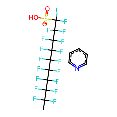 CC(F)(F)C(F)(F)C(F)(F)C(F)(F)C(F)(F)C(F)(F)C(F)(F)C(F)(F)C(F)(F)S(=O)(=O)O.c1ccncc1